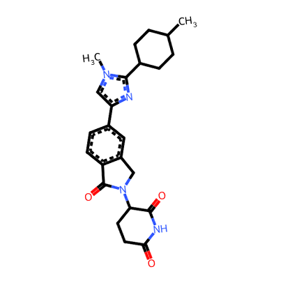 CC1CCC(c2nc(-c3ccc4c(c3)CN(C3CCC(=O)NC3=O)C4=O)cn2C)CC1